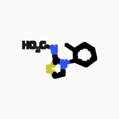 Cc1ccccc1-n1ccsc1=NC(=O)O